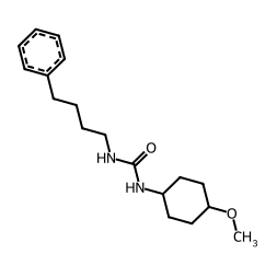 COC1CCC(NC(=O)NCCCCc2ccccc2)CC1